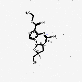 CCOC(=N)c1ncn([C@@H]2O[C@](F)(CO)C[C@@H]2C)c1/N=C(\C)N